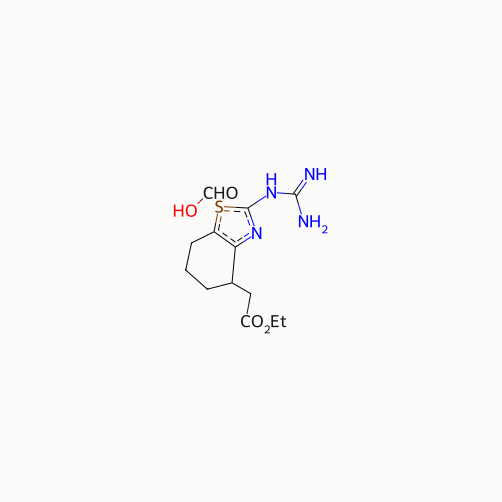 CCOC(=O)CC1CCCc2sc(NC(=N)N)nc21.O=CO